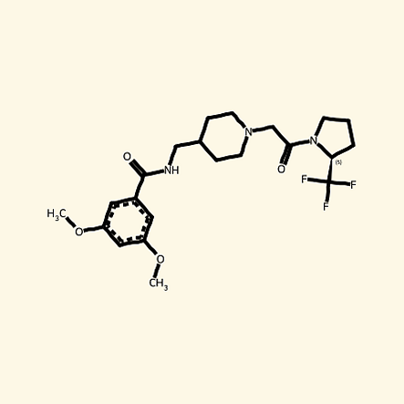 COc1cc(OC)cc(C(=O)NCC2CCN(CC(=O)N3CCC[C@H]3C(F)(F)F)CC2)c1